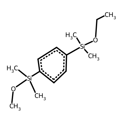 CCO[Si](C)(C)c1ccc([Si](C)(C)OC)cc1